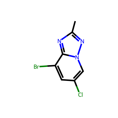 Cc1nc2c(Br)cc(Cl)cn2n1